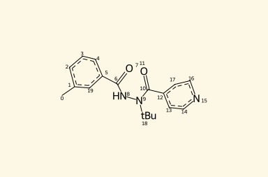 Cc1cccc(C(=O)NN(C(=O)c2ccncc2)C(C)(C)C)c1